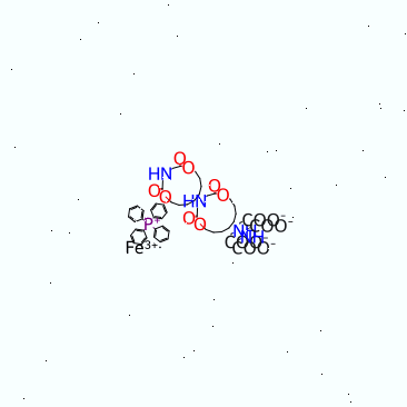 O=C([O-])CNCC(=O)[O-].O=C([O-])CNCC(=O)[O-].O=C1CNCC(=O)OCCCCCCCCO1.O=C1CNCC(=O)OCCCCCCCCO1.[Fe+3].c1ccc([P+](c2ccccc2)(c2ccccc2)c2ccccc2)cc1